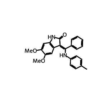 COc1cc2c(cc1OC)C(=C(Nc1ccc(C)cc1)c1ccccc1)C(=O)N2